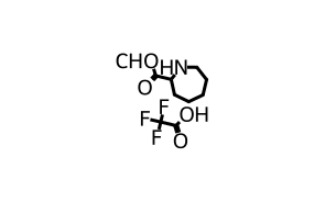 O=C(O)C(F)(F)F.O=CC(=O)C1CCCCCN1